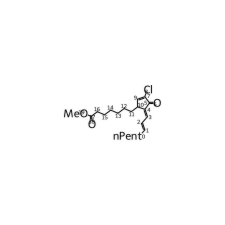 CCCCCC=CC=C1C(=O)C(Cl)=CC1CCCCCCC(=O)OC